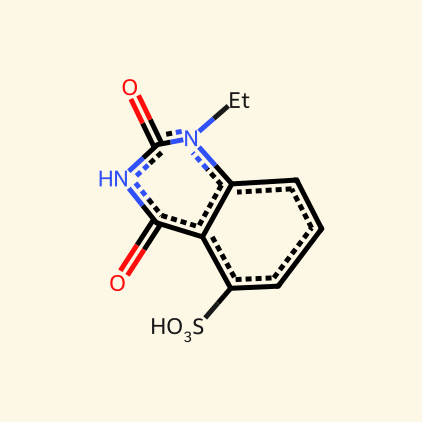 CCn1c(=O)[nH]c(=O)c2c(S(=O)(=O)O)cccc21